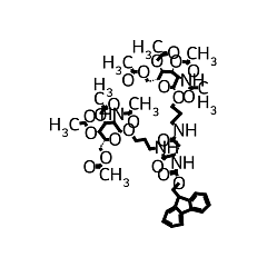 CC(=O)N[C@H]1[C@H](OCCCNC(=O)C[C@H](NC(=O)OCC2c3ccccc3-c3ccccc32)C(=O)NCCCO[C@@H]2O[C@H](COC(C)=O)[C@H](OC(C)=O)[C@H](OC(C)=O)[C@H]2NC(C)=O)O[C@H](COC(C)=O)[C@H](OC(C)=O)[C@@H]1OC(C)=O